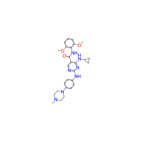 COc1cccc(OC)c1NC(=O)c1cnc(Nc2ccc(N3CCN(C)CC3)cc2)nc1NC1CC1